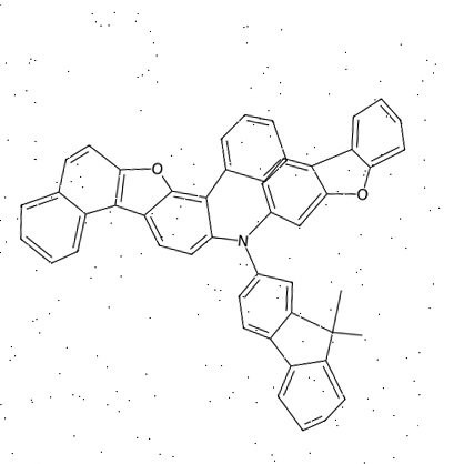 CC1(C)c2ccccc2-c2ccc(N(c3ccc4c(c3)oc3ccccc34)c3ccc4c(oc5ccc6ccccc6c54)c3-c3ccccc3)cc21